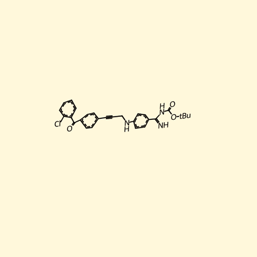 CC(C)(C)OC(=O)NC(=N)c1ccc(NCC#Cc2ccc(C(=O)c3ccccc3Cl)cc2)cc1